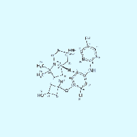 [2H]C1(Oc2ccc(Nc3ncc(F)c(N[C@H]4CCN5[C@@H](CCC5(C)C)C4)n3)cc2Cl)CC(O)C1